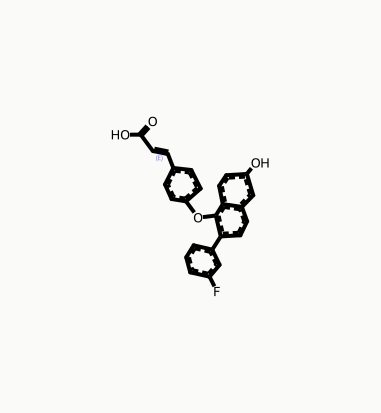 O=C(O)/C=C/c1ccc(Oc2c(-c3cccc(F)c3)ccc3cc(O)ccc23)cc1